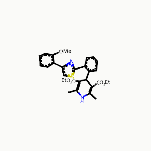 CCOC(=O)C1=C(C)NC(C)=C(C(=O)OCC)C1c1ccccc1-c1nc(-c2ccccc2OC)cs1